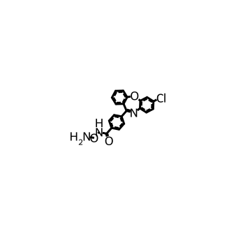 NONC(=O)c1ccc(C2=Nc3ccc(Cl)cc3Oc3ccccc32)cc1